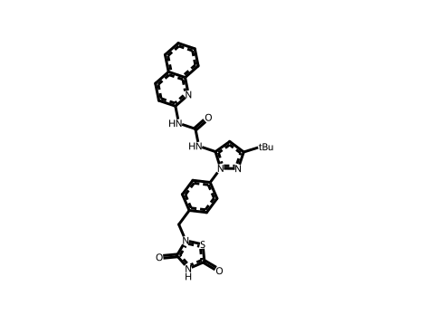 CC(C)(C)c1cc(NC(=O)Nc2ccc3ccccc3n2)n(-c2ccc(Cn3sc(=O)[nH]c3=O)cc2)n1